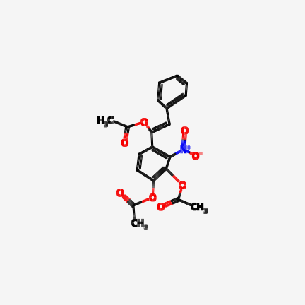 CC(=O)OC(=Cc1ccccc1)c1ccc(OC(C)=O)c(OC(C)=O)c1[N+](=O)[O-]